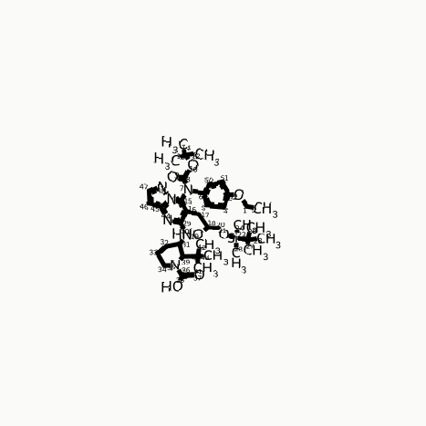 CCOc1ccc(N(C(=O)OC(C)(C)C)c2c(CC(O)CO[Si](C)(C)C(C)(C)C)c(NC3CCCN(C(=O)O)C3C(C)(C)C)nc3ccnn23)cc1